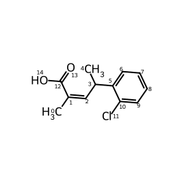 CC(=CC(C)c1ccccc1Cl)C(=O)O